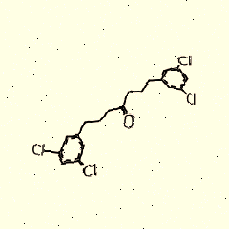 O=C(CCCc1cc(Cl)cc(Cl)c1)CCCc1cc(Cl)cc(Cl)c1